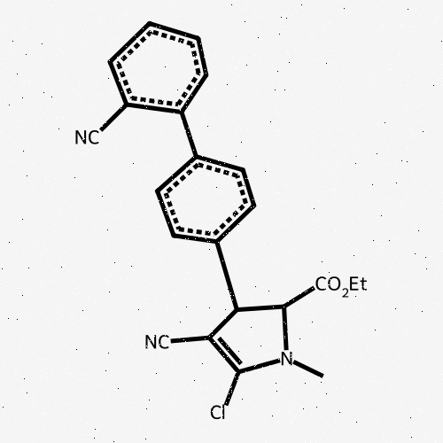 CCOC(=O)C1C(c2ccc(-c3ccccc3C#N)cc2)C(C#N)=C(Cl)N1C